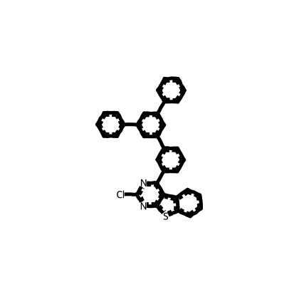 Clc1nc(-c2cccc(-c3cc(-c4ccccc4)cc(-c4ccccc4)c3)c2)c2c(n1)sc1ccccc12